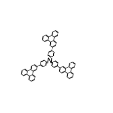 c1ccc2c(c1)c1ccccc1c1cc(-c3ccc(N(c4ccc(-c5ccc6c7ccccc7c7ccccc7c6c5)cc4)c4ccc(-c5ccc6c7ccccc7c7ccccc7c6c5)cc4)cc3)ccc21